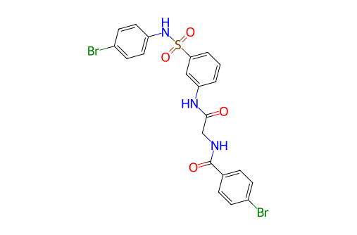 O=C(CNC(=O)c1ccc(Br)cc1)Nc1cccc(S(=O)(=O)Nc2ccc(Br)cc2)c1